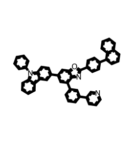 c1ccc(-n2c3ccccc3c3cc(-c4cc(-c5cccc(-c6cccnc6)c5)c5nc(-c6ccc(-c7cccc8ccccc78)cc6)oc5c4)ccc32)cc1